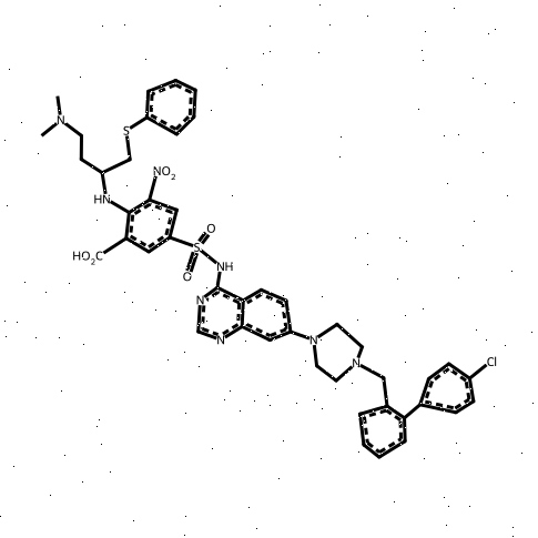 CN(C)CCC(CSc1ccccc1)Nc1c(C(=O)O)cc(S(=O)(=O)Nc2ncnc3cc(N4CCN(Cc5ccccc5-c5ccc(Cl)cc5)CC4)ccc23)cc1[N+](=O)[O-]